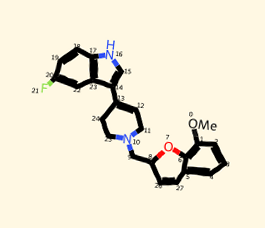 COc1cccc2c1OC(CN1CC=C(c3c[nH]c4ccc(F)cc34)CC1)C=C2